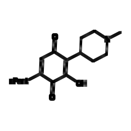 CCCCCC1=CC(=O)C(C2CCN(C)CC2)=C(O)C1=O